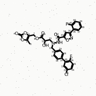 Cc1oc(=O)oc1COC(=O)C(O)CN(Cc1ccc(-c2cc(Cl)ccc2F)cc1)NC(=O)c1cc(-c2ccccc2F)no1